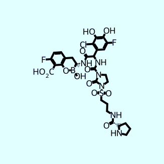 O=C(O)c1c(F)ccc2c1OB(O)[C@@H](NC(=O)C(NC(=O)N1CCN(S(=O)(=O)CCCNC(=O)[C@@H]3CCCN3)C1=O)c1cc(F)c(O)c(O)c1Cl)C2